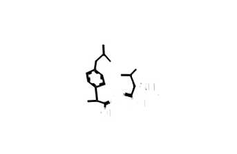 CC(C)Cc1ccc(C(C)C(=O)O)cc1.CC(C)[C@H](N)C(=O)O